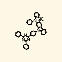 C[Si]1(C)c2ccccc2N(c2ccccc2)c2cc3c(cc21)c1ccccc1n3-c1ccc(-c2nc(-c3ccccc3)nc(-c3ccccc3)n2)cc1